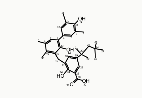 Cc1cc(-c2cc(C)c(O)c(C)c2)c(O)c(Cc2cc(C(C)(C)CC(C)(C)C)cc(C(=O)O)c2O)c1C